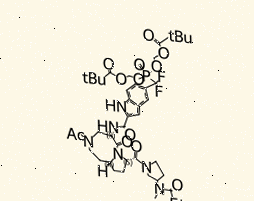 CCC(=O)N(C)C1CCN(C(=O)[C@@H]2CC[C@@H]3CCN(C(C)=O)C[C@H](NC(=O)c4cc5cc(C(F)(F)P(=O)(OCOC(=O)C(C)(C)C)OCOC(=O)C(C)(C)C)ccc5[nH]4)C(=O)N32)C1